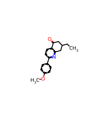 CCC1CC(=O)c2ccc(-c3ccc(OC)cc3)nc2C1